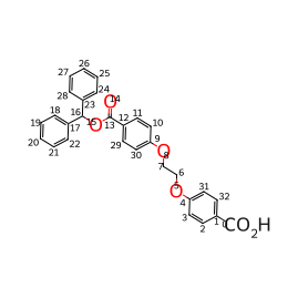 O=C(O)c1ccc(OCCOc2ccc(C(=O)OC(c3ccccc3)c3ccccc3)cc2)cc1